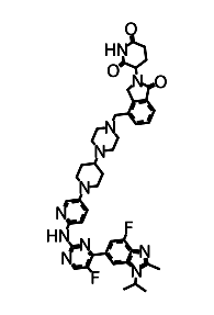 Cc1nc2c(F)cc(-c3nc(Nc4ccc(N5CCC(N6CCN(Cc7cccc8c7CN(C7CCC(=O)NC7=O)C8=O)CC6)CC5)cn4)ncc3F)cc2n1C(C)C